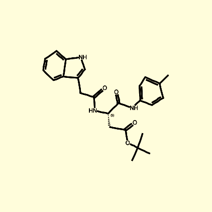 Cc1ccc(NC(=O)[C@H](CC(=O)OC(C)(C)C)NC(=O)Cc2c[nH]c3ccccc23)cc1